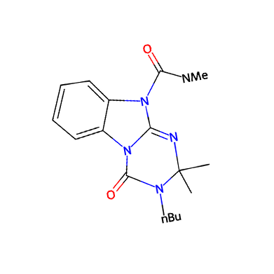 CCCCN1C(=O)N2C(=NC1(C)C)N(C(=O)NC)c1ccccc12